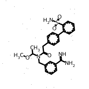 COC(C)N(Cc1cccc(C(=N)N)c1)C(=O)Cc1ccc(-c2ccccc2S(N)(=O)=O)cc1